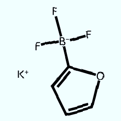 F[B-](F)(F)c1ccco1.[K+]